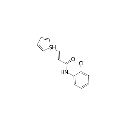 O=C(C=C[SH]1C=CC=C1)Nc1ccccc1Cl